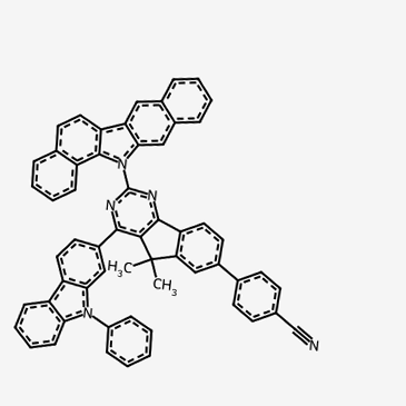 CC1(C)c2cc(-c3ccc(C#N)cc3)ccc2-c2nc(-n3c4cc5ccccc5cc4c4ccc5ccccc5c43)nc(-c3ccc4c5ccccc5n(-c5ccccc5)c4c3)c21